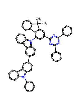 CC1(C)c2ccccc2-c2c(-n3c4ccccc4c4cc(-c5ccc6c(c5)c5ccccc5n6-c5ccccc5)ccc43)cc(-c3nc(-c4ccccc4)nc(-c4ccccc4)n3)cc21